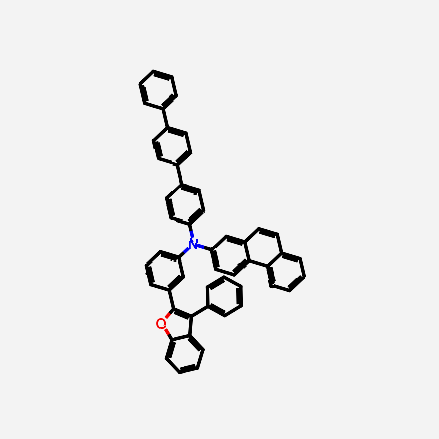 c1ccc(-c2ccc(-c3ccc(N(c4cccc(-c5oc6ccccc6c5-c5ccccc5)c4)c4ccc5c(ccc6ccccc65)c4)cc3)cc2)cc1